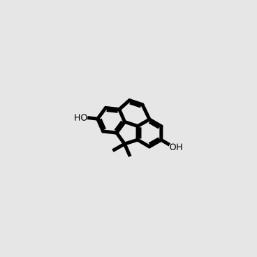 CC1(C)c2cc(O)cc3ccc4cc(O)cc1c4c23